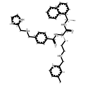 Cc1ccnc(CNCCC[C@H](NC(=O)c2ccc(CNCc3ncc[nH]3)cc2)C(=O)N[C@@H](C)c2cccc3ccccc23)c1